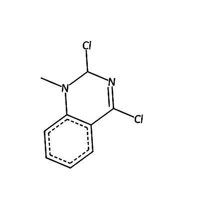 CN1c2ccccc2C(Cl)=NC1Cl